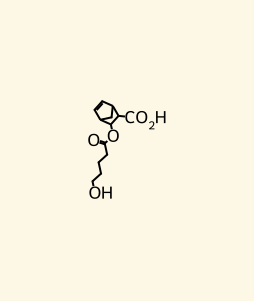 O=C(CCCCO)OC1C2C=CC(C2)C1C(=O)O